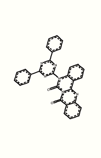 O=c1c2ccccc2nc2c3ccccc3n(-c3nc(-c4ccccc4)nc(-c4ccccc4)n3)c(=O)n12